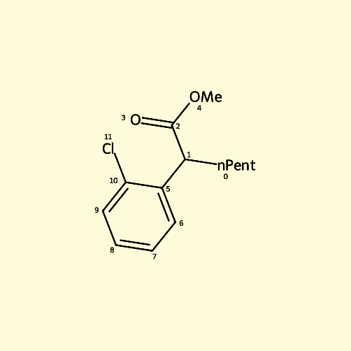 CCCCCC(C(=O)OC)c1ccccc1Cl